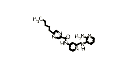 CCCCCc1cnc(C(=O)Nc2ccnc(CNc3cccnc3N)c2)cn1